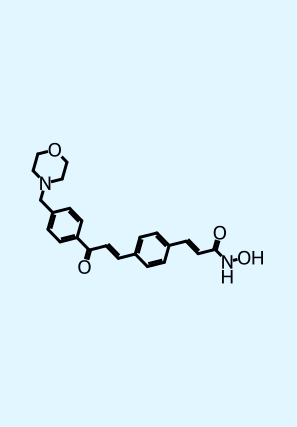 O=C(/C=C/c1ccc(/C=C/C(=O)c2ccc(CN3CCOCC3)cc2)cc1)NO